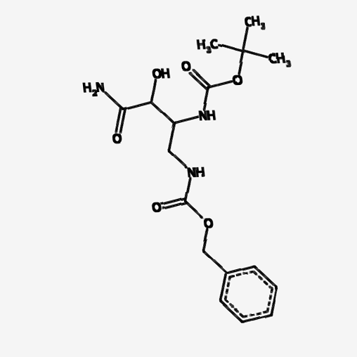 CC(C)(C)OC(=O)NC(CNC(=O)OCc1ccccc1)C(O)C(N)=O